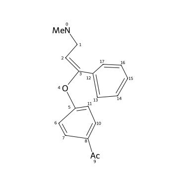 CNCC=C(Oc1ccc(C(C)=O)cc1)c1ccccc1